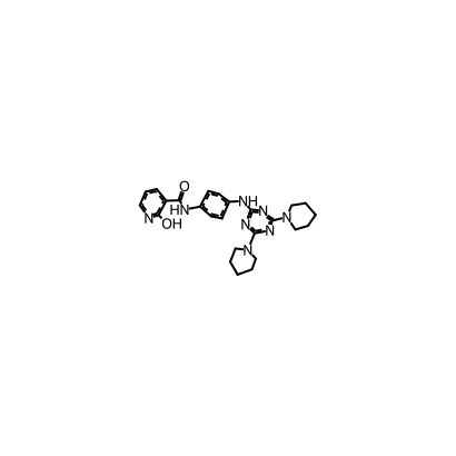 O=C(Nc1ccc(Nc2nc(N3CCCCC3)nc(N3CCCCC3)n2)cc1)c1cccnc1O